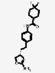 NC1=N[C@@H](CCc2ccc(NC(=O)C3CCC(F)(F)CC3)cc2)CO1